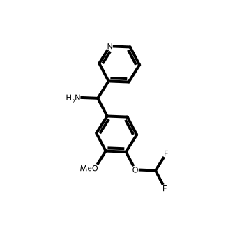 COc1cc(C(N)c2cccnc2)ccc1OC(F)F